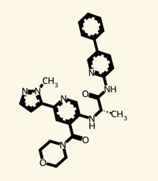 C[C@H](Nc1cnc(-c2ccnn2C)cc1C(=O)N1CCOCC1)C(=O)Nc1ccc(-c2ccccc2)cn1